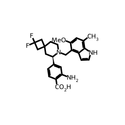 COc1cc(C)c2[nH]ccc2c1CN1CCC2(C[C@@H]1c1ccc(C(=O)O)c(N)c1)CC(F)(F)C2